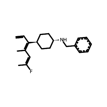 C=C/C(=C(C)/C=C(\C)F)[C@H]1CC[C@H](NCc2ccccc2)CC1